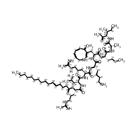 C=C1/C=C\C=C/CN/C=C\1C[C@H](NC(=O)[C@H](CCCCN)NC(=O)[C@H](CCCNC(=N)N)NC(=O)[C@H](CC(C)C)NC(=O)[C@H](CCCNC(=N)N)NC(=O)CCCCCCCCCCCCCCC)C(=O)N[C@@H](CCSC)C(=O)N[C@@H](C)C(=O)N[C@H](C(N)=O)[C@@H](C)CC